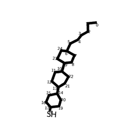 CCCCCCC1CCC(C2CCC(C3CCC(S)CC3)CC2)CC1